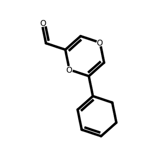 O=CC1=COC=C(C2=CC=CCC2)O1